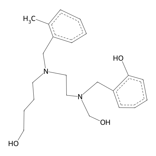 Cc1ccccc1CN(CCCCO)CCN(CO)Cc1ccccc1O